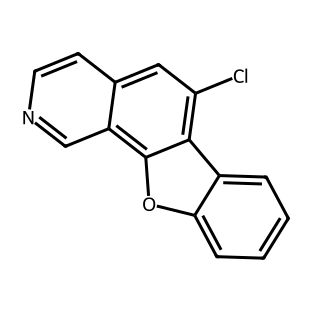 Clc1cc2ccncc2c2oc3ccccc3c12